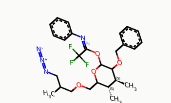 CC(CN=[N+]=[N-])COCC1OC(O/C(=N/c2ccccc2)C(F)(F)F)C(OCc2ccccc2)[C@@H](C)[C@@H]1C